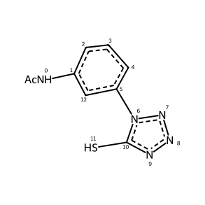 CC(=O)Nc1cccc(-n2nnnc2S)c1